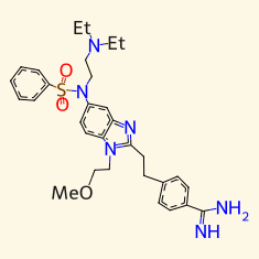 CCN(CC)CCN(c1ccc2c(c1)nc(CCc1ccc(C(=N)N)cc1)n2CCOC)S(=O)(=O)c1ccccc1